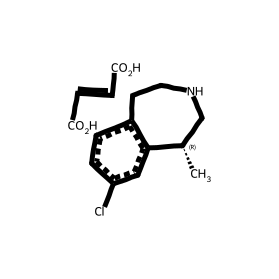 C[C@H]1CNCCc2ccc(Cl)cc21.O=C(O)C=CC(=O)O